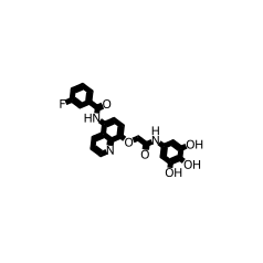 O=C(COc1ccc(NC(=O)c2cccc(F)c2)c2cccnc12)Nc1cc(O)c(O)c(O)c1